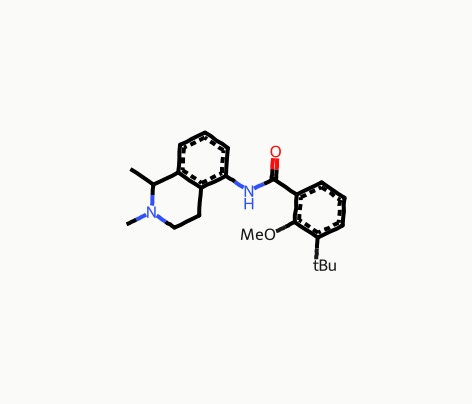 COc1c(C(=O)Nc2cccc3c2CCN(C)C3C)cccc1C(C)(C)C